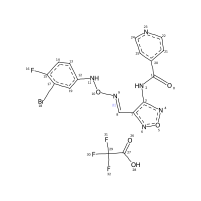 O=C(Nc1nonc1/C=N/ONc1ccc(F)c(Br)c1)c1ccncc1.O=C(O)C(F)(F)F